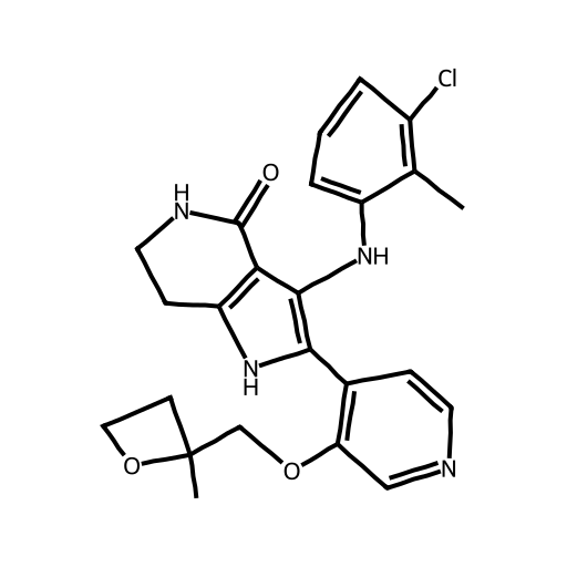 Cc1c(Cl)cccc1Nc1c(-c2ccncc2OCC2(C)CCO2)[nH]c2c1C(=O)NCC2